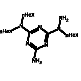 CCCCCCN(N)c1nc(N)nc(N(CCCCCC)CCCCCC)n1